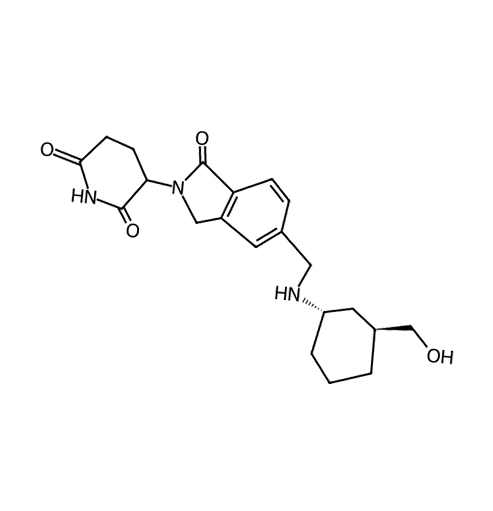 O=C1CCC(N2Cc3cc(CN[C@H]4CCC[C@H](CO)C4)ccc3C2=O)C(=O)N1